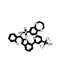 O=S(=O)(N[C@@H](c1cc2cccc(-c3cc(C(O)(C(F)(F)F)C(F)(F)F)ccn3)c2s1)c1ccccc1Cl)c1ccc2c(c1)OCCCO2